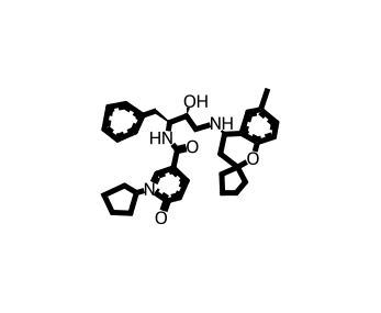 Cc1ccc2c(c1)[C@@H](NC[C@@H](O)[C@H](Cc1ccccc1)NC(=O)c1ccc(=O)n(C3CCCC3)c1)CC1(CCCC1)O2